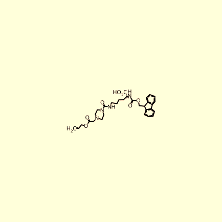 C=CCOC(=O)CN1CCN(C(=O)NCCCC[C@@H](NC(=O)OCC2c3ccccc3-c3ccccc32)C(=O)O)CC1